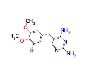 COc1cc(Cc2cnc(N)nc2N)cc(Br)c1OC